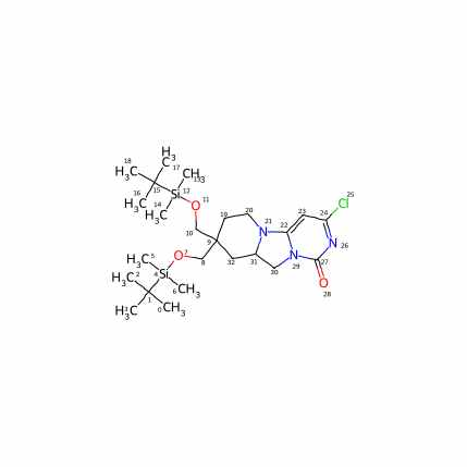 CC(C)(C)[Si](C)(C)OCC1(CO[Si](C)(C)C(C)(C)C)CCN2c3cc(Cl)nc(=O)n3CC2C1